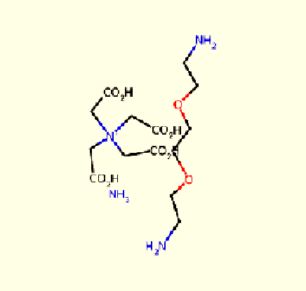 N.NCCOCCOCCN.O=C(O)C[N+](CC(=O)O)(CC(=O)O)CC(=O)O